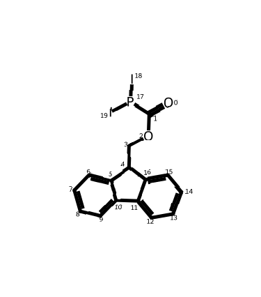 O=C(OCC1c2ccccc2-c2ccccc21)P(I)I